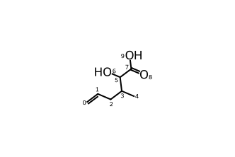 C=CCC(C)C(O)C(=O)O